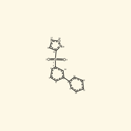 O=S(=O)(c1cccc(-c2ccccc2)c1)c1cnon1